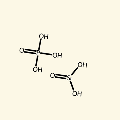 O=P(O)(O)O.O=[Si](O)O